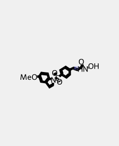 COc1ccc2c(ccn2S(=O)(=O)c2ccc(/C=C/C(=O)NO)cc2)c1